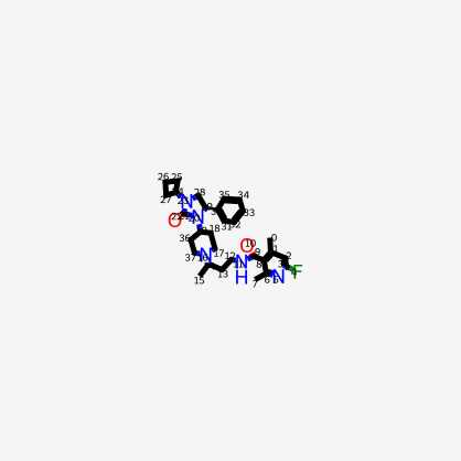 Cc1cc(F)nc(C)c1C(=O)NCCC(C)N1CCC(N2C(=O)N(C3CCC3)C[C@H]2c2ccccc2)CC1